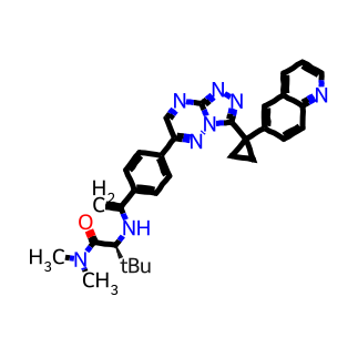 C=C(N[C@H](C(=O)N(C)C)C(C)(C)C)c1ccc(-c2cnc3nnc(C4(c5ccc6ncccc6c5)CC4)n3n2)cc1